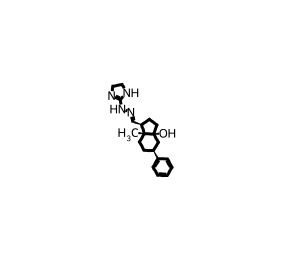 C[C@]12CC[C@H](c3ccccc3)C[C@@]1(O)CC[C@@H]2C=NNC1=NCCN1